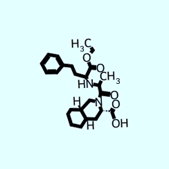 CCOC(=O)C(CCc1ccccc1)NC(C)C(=O)N1C[C@H]2CCCC[C@H]2C[C@H]1C(=O)O